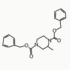 CC1CN(C(=O)OCc2ccccc2)CCN1C(=O)OCc1ccccc1